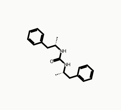 C[C@@H](Cc1ccccc1)NC(=O)N[C@@H](C)Cc1ccccc1